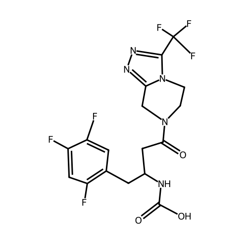 O=C(O)NC(CC(=O)N1CCn2c(nnc2C(F)(F)F)C1)Cc1cc(F)c(F)cc1F